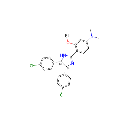 CCOc1cc(N(C)C)ccc1C1=N[C@H](c2ccc(Cl)cc2)[C@H](c2ccc(Cl)cc2)N1